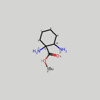 CC(C)(C)OC(=O)C1(N)CCCCC1N